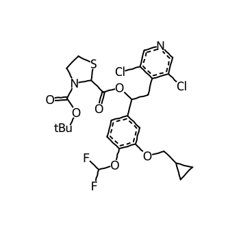 CC(C)(C)OC(=O)N1CCSC1C(=O)OC(Cc1c(Cl)cncc1Cl)c1ccc(OC(F)F)c(OCC2CC2)c1